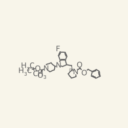 CC(C)(C)OC(=O)N1CCC(N2CC(C[C@@H]3CCCN3C(=O)OCc3ccccc3)c3ccc(F)cc32)CC1